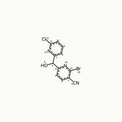 N#Cc1ccc(C(O)c2cccc(Cl)n2)nc1Br